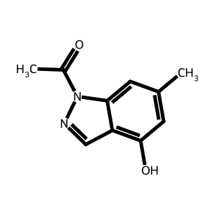 CC(=O)n1ncc2c(O)cc(C)cc21